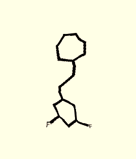 FC1CC(F)CC(CCC2CCCCCC2)C1